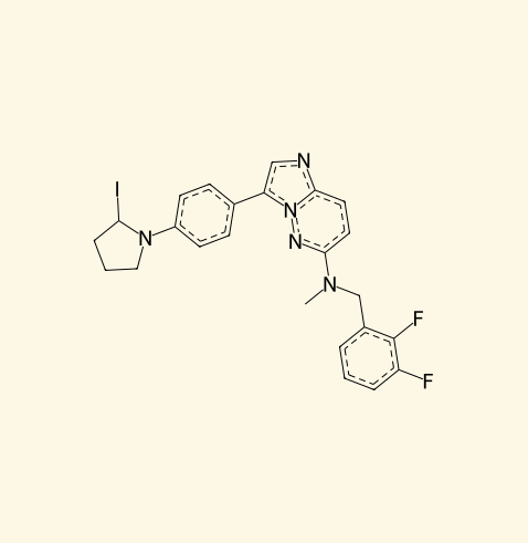 CN(Cc1cccc(F)c1F)c1ccc2ncc(-c3ccc(N4CCCC4I)cc3)n2n1